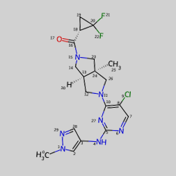 Cn1cc(Nc2ncc(Cl)c(N3C[C@H]4CN(C(=O)[C@@H]5CC5(F)F)C[C@@]4(C)C3)n2)cn1